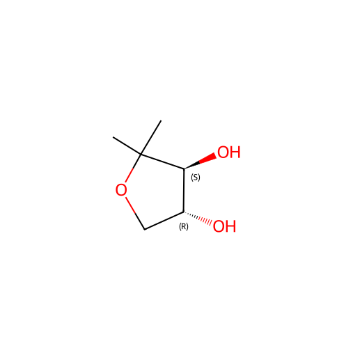 CC1(C)OC[C@@H](O)[C@@H]1O